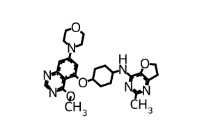 COc1ncnc2cc(N3CCOCC3)cc(OC3CCC(Nc4nc(C)nc5c4OCC5)CC3)c12